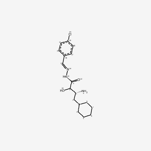 N[C@H](CC1CCCCC1)C(O)C(=O)NN=Cc1ccc(Cl)cc1